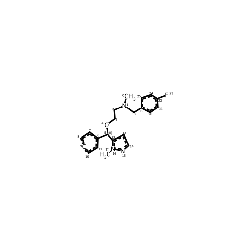 CN(CCO[C@H](c1ccccc1)c1ccnn1C)Cc1ccc(F)cc1